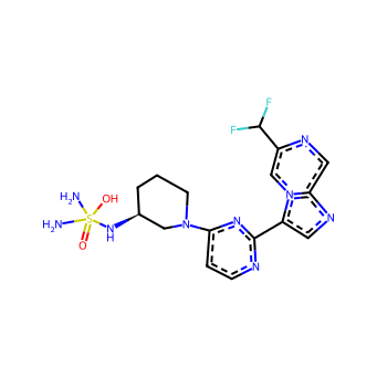 NS(N)(=O)(O)N[C@H]1CCCN(c2ccnc(-c3cnc4cnc(C(F)F)cn34)n2)C1